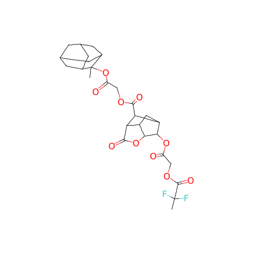 CC(F)(F)C(=O)OCC(=O)OC1C2CC3C1OC(=O)C3C2C(=O)OCC(=O)OC1(C)C2CC3CC(C2)CC1C3